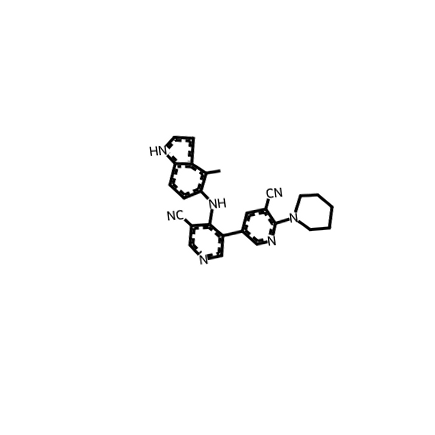 Cc1c(Nc2c(C#N)cncc2-c2cnc(N3CCCCC3)c(C#N)c2)ccc2[nH]ccc12